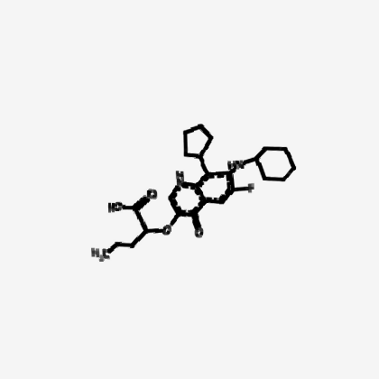 CCCC(Oc1c[nH]c2c(C3CCCC3)c(NC3CCCCC3)c(F)cc2c1=O)C(=O)O